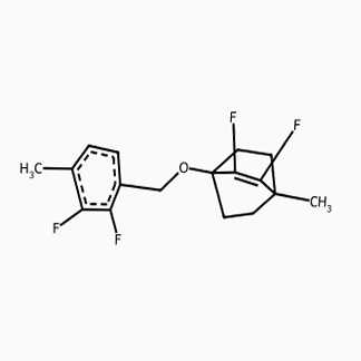 Cc1ccc(COC23CCC(C)(CC2)C(F)=C3F)c(F)c1F